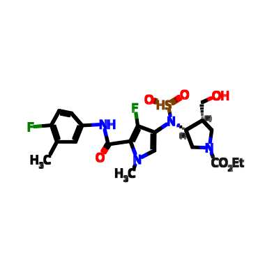 CCOC(=O)N1C[C@@H](CO)[C@@H](N(c2cn(C)c(C(=O)Nc3ccc(F)c(C)c3)c2F)[SH](=O)=O)C1